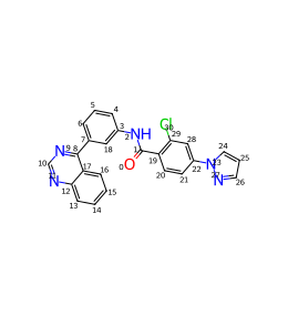 O=C(Nc1cccc(-c2ncnc3ccccc23)c1)c1ccc(-n2cccn2)cc1Cl